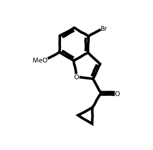 COc1ccc(Br)c2cc(C(=O)C3CC3)oc12